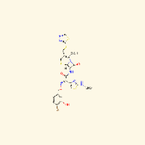 O=CNc1nc(/C(=N\OCc2ccc(Br)c(O)c2)C(=O)NC2C(=O)N3C(C(=O)O)=C(CSc4nncs4)CS[C@H]23)cs1